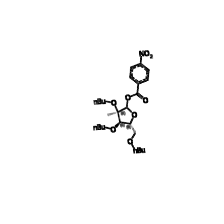 CCCCOC[C@H]1OC(OC(=O)c2ccc([N+](=O)[O-])cc2)[C@](C)(OCCCC)[C@@H]1OCCCC